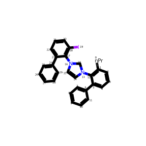 CCCc1cccc(-c2ccccc2)c1N1C=CN(c2c(I)cccc2-c2ccccc2)C1